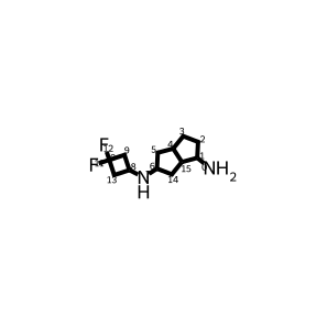 NC1CCC2CC(NC3CC(F)(F)C3)CC12